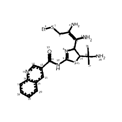 CCSC/C(N)=C(/N)C1N=C(NC(=O)c2cnc3ccccc3c2)SC1C(C)(C)N